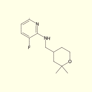 CC1(C)CC(CNc2n[c]ccc2F)CCO1